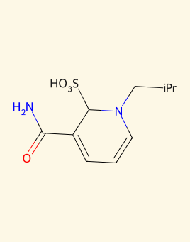 CC(C)CN1C=CC=C(C(N)=O)C1S(=O)(=O)O